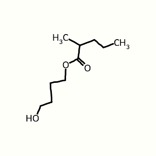 CCCC(C)C(=O)OCCCCO